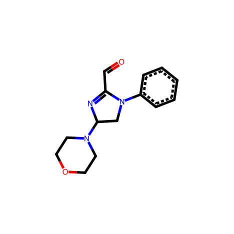 O=CC1=NC(N2CCOCC2)CN1c1ccccc1